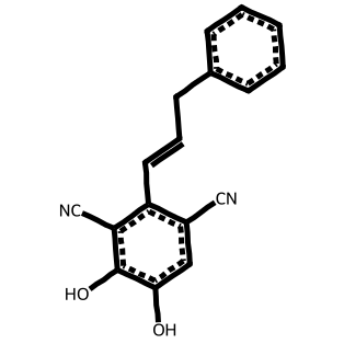 N#Cc1cc(O)c(O)c(C#N)c1/C=C/Cc1ccccc1